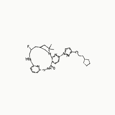 CC1(C)CC2CC(F)CNc3cccc(n3)SNC(=O)c3ccc(-n4ccc(OCCC5CCCC5)n4)nc3N1C2